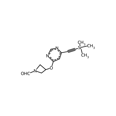 C[Si](C)(C)C#Cc1cc(OC2CN(C=O)C2)ncn1